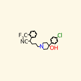 N#CC(CCCN1CCC(O)(c2ccc(Cl)cc2)CC1)c1ccccc1C(F)(F)F